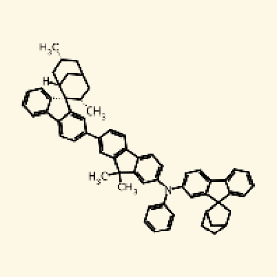 C[C@@H]1CC2C[C@@H](C1)[C@@]1(c3ccccc3-c3ccc(-c4ccc5c(c4)C(C)(C)c4cc(N(c6ccccc6)c6ccc7c(c6)C6(CC8CCC6C8)c6ccccc6-7)ccc4-5)cc31)[C@@H](C)C2